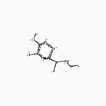 CCNC(C)c1cc(Cl)c(OC)nn1